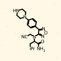 CC(C)CC(C(N)=O)N(CC#N)c1nonc1-c1ccc(N2CCNCC2)cc1